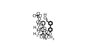 CC(C)[C@H](NC(=O)[C@H](C)Oc1ccc(-c2cccc(CCO)c2)cc1)C(=O)N[C@@H](C)C(=O)N1CCC[C@@H](C(=O)OCC(Cl)(Cl)Cl)N1